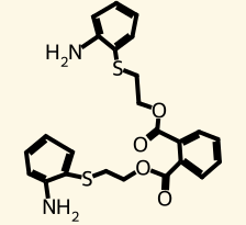 Nc1ccccc1SCCOC(=O)c1ccccc1C(=O)OCCSc1ccccc1N